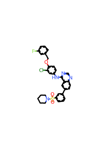 O=S(=O)(c1cccc(-c2ccc3ncnc(Nc4ccc(OCc5cccc(F)c5)c(Cl)c4)c3c2)c1)N1CCCCC1